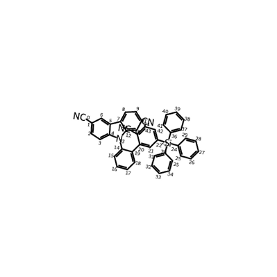 N#Cc1ccc2c(c1)c1ccccc1n2-c1ccccc1-c1cc([Si](c2ccccc2)(c2ccccc2)c2ccccc2)cc(C#N)c1C#N